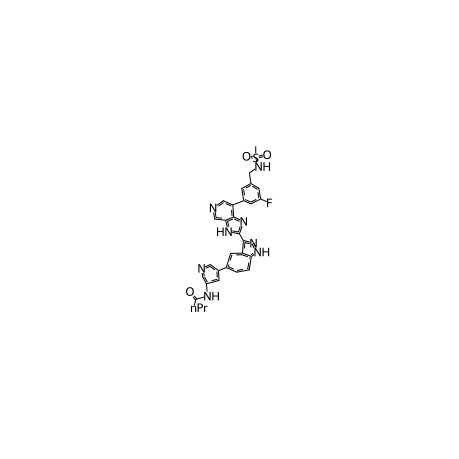 CCCC(=O)Nc1cncc(-c2ccc3[nH]nc(-c4nc5c(-c6cc(F)cc(CNS(C)(=O)=O)c6)cncc5[nH]4)c3c2)c1